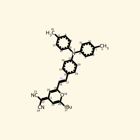 Cc1ccc(N(c2ccc(C)cc2)c2ccc(/C=C/C3=CC(=C(C#N)C#N)C=C(C(C)(C)C)O3)cc2)cc1